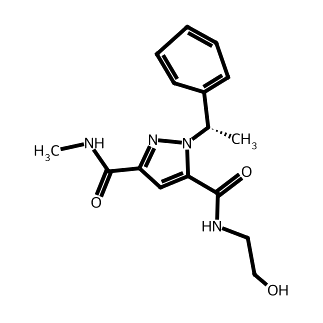 CNC(=O)c1cc(C(=O)NCCO)n([C@@H](C)c2ccccc2)n1